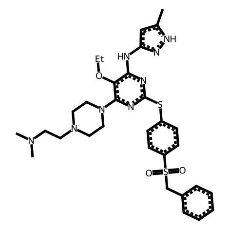 CCOc1c(Nc2cc(C)[nH]n2)nc(Sc2ccc(S(=O)(=O)Cc3ccccc3)cc2)nc1N1CCN(CCN(C)C)CC1